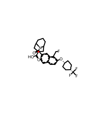 O=C(O)C1CC2CCCC(C1)N2C(=O)c1ccc2ccc(O[C@H]3CC[C@@H](C(F)(F)F)CC3)c(CF)c2c1